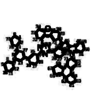 c1ccc(-c2cc(-c3ccccc3)cc(-c3cccc(-c4nc(-c5ccccc5)nc(-c5cccc6oc7ccc(-c8ccc9c(c8)c8ccccc8n9-c8ccc9c%10ccccc%10c%10ccccc%10c9c8)cc7c56)n4)c3)c2)cc1